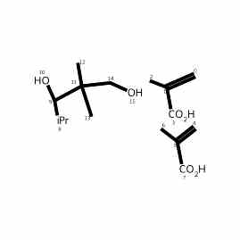 C=C(C)C(=O)O.C=C(C)C(=O)O.CC(C)C(O)C(C)(C)CO